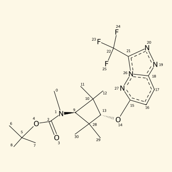 CN(C(=O)OC(C)(C)C)[C@H]1C(C)(C)[C@H](Oc2ccc3nnc(C(F)(F)F)n3n2)C1(C)C